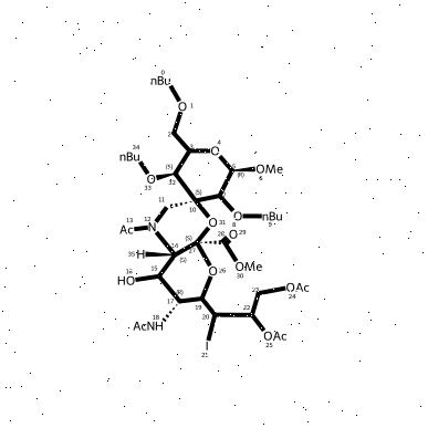 CCCCOCC1O[C@@H](OC)C(OCCCC)[C@]2(CN(C(C)=O)[C@H]3C(O)[C@@H](NC(C)=O)C(C(I)C(COC(C)=O)OC(C)=O)O[C@]3(C(=O)OC)O2)[C@H]1OCCCC